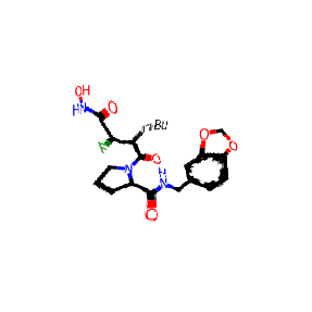 CCCCC(C(=O)N1CCCC1C(=O)NCc1ccc2c(c1)OCO2)C(F)C(=O)NO